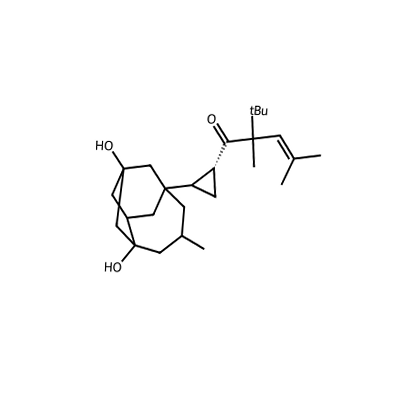 CC(C)=CC(C)(C(=O)[C@@H]1CC1C12CC(C)CC3(O)CC(O)(CC3C1)C2)C(C)(C)C